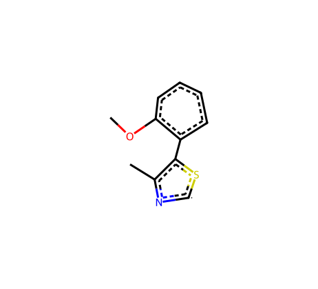 COc1ccccc1-c1s[c]nc1C